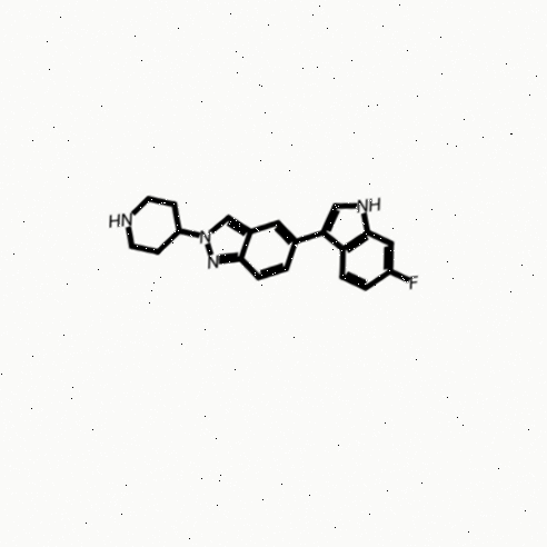 Fc1ccc2c(-c3ccc4nn(C5CCNCC5)cc4c3)c[nH]c2c1